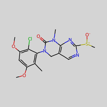 COc1cc(OC)c(Cl)c(N2Cc3cnc([S+](C)[O-])nc3N(C)C2=O)c1C